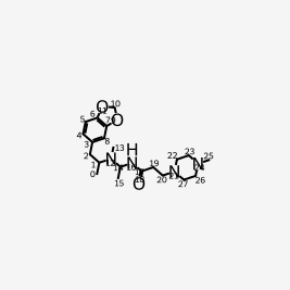 CC(Cc1ccc2c(c1)OCO2)N(C)C(C)NC(=O)CCN1CCN(C)CC1